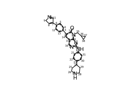 O=c1c(-c2ccc(C3=CCN=C3)cc2)cc2cnc(Nc3ccc(C4CCNCC4)cc3)nc2n1CC1CC1